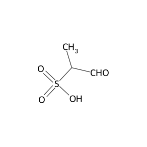 CC(C=O)S(=O)(=O)O